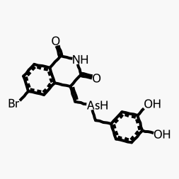 O=C1NC(=O)c2ccc(Br)cc2C1=C[AsH]Cc1ccc(O)c(O)c1